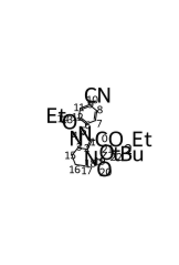 CCOC(=O)c1c2c(nn1-c1ccc(C#N)cc1OCC)CCCN2C(=O)OC(C)(C)C